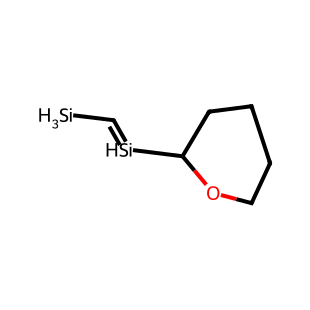 [SiH3]C=[SiH]C1CCCCO1